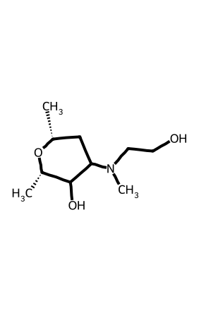 C[C@@H]1CC(N(C)CCO)C(O)[C@H](C)O1